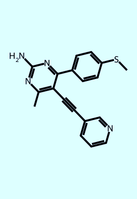 CSc1ccc(-c2nc(N)nc(C)c2C#Cc2cccnc2)cc1